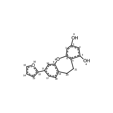 Oc1cc(O)c2c(c1)Oc1cc(-c3ccco3)ccc1CC2